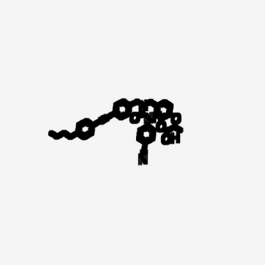 CCCCc1ccc(C#Cc2ccc(CN(Cc3ccc(OC(C)C(=O)O)cc3)C(=O)Nc3ccc(C#N)cc3)cc2)cc1